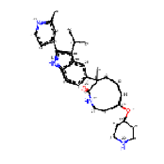 Cc1cc(-c2[nH]c3ccc(C4(C)CCCC(OC5CCNCC5)CCNC4=O)cc3c2C(C)C)ccn1